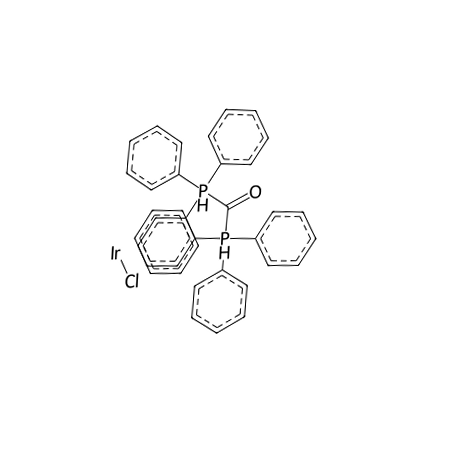 O=C([PH](c1ccccc1)(c1ccccc1)c1ccccc1)[PH](c1ccccc1)(c1ccccc1)c1ccccc1.[Cl][Ir]